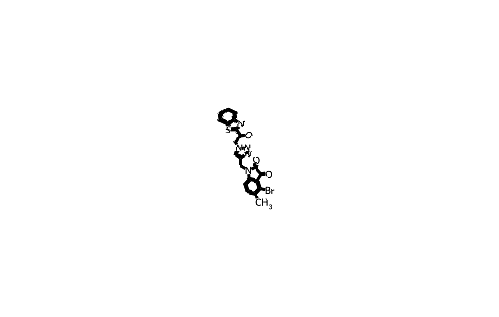 Cc1ccc2c(c1Br)C(=O)C(=O)N2Cc1cn(CC(=O)c2nc3ccccc3s2)nn1